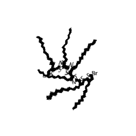 CCCCCCCCCCCCc1cc(Br)sc1-c1cc(CCCCCCCCCCCC)c(-c2nc(CCCCCCCCCCCC)c(-c3sc(-c4sc(-c5sc(Br)cc5CCCCCCCCCCCC)nc4CCCCCCCCCCCC)nc3CCCCCCCCCCCC)s2)s1